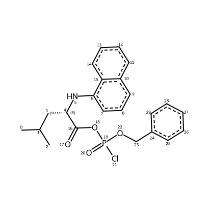 CC(C)C[C@H](Nc1cccc2ccccc12)C(=O)OP(=O)(Cl)OCc1ccccc1